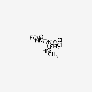 Cc1cc(C)c(C=C2CN(Cc3ccc(Cl)c(Cl)c3)c3ccc(NC(=O)c4ccc(F)cc4)cc32)[nH]1